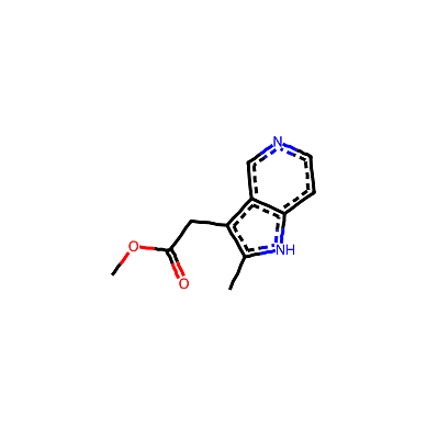 COC(=O)Cc1c(C)[nH]c2ccncc12